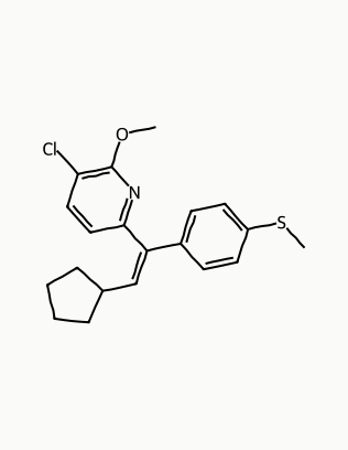 COc1nc(/C(=C\C2CCCC2)c2ccc(SC)cc2)ccc1Cl